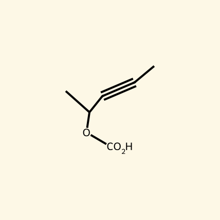 CC#CC(C)OC(=O)O